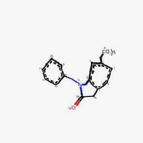 O=C(O)c1ccc2c(c1)N(c1ccccc1)C(=O)C2